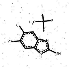 CC(F)(F)F.Sc1nc2cc(Cl)c(Cl)cc2[nH]1